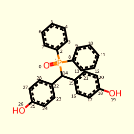 O=P(c1ccccc1)(c1ccccc1)C(c1ccc(O)cc1)c1ccc(O)cc1